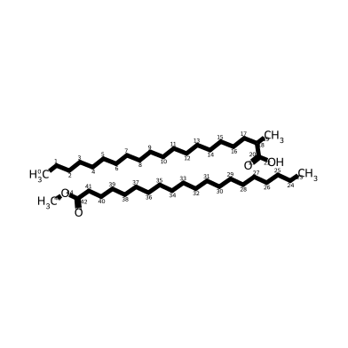 CCCCCCCCCCCCCCCCCCC(C)C(=O)O.CCCCCCCCCCCCCCCCCCCC(=O)OC